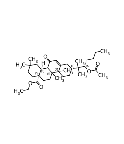 CCCC[C@H](OC(C)=O)C(C)(C)[C@@H]1CC[C@]2(C)C(=CC(=O)C3[C@@H]4CC(C)(C)CC[C@]4(C(=O)OCC)CC[C@]32C)C1